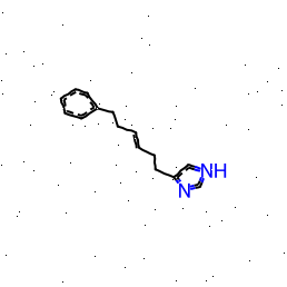 C(=C\CCc1c[nH]cn1)/CCc1ccccc1